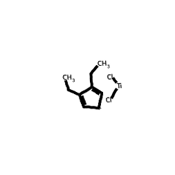 CCC1=C[CH]C=C1CC.[Cl][Ti][Cl]